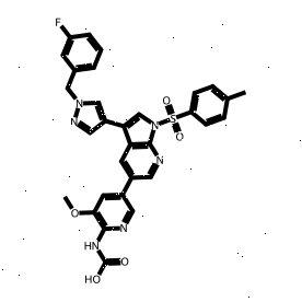 COc1cc(-c2cnc3c(c2)c(-c2cnn(Cc4cccc(F)c4)c2)cn3S(=O)(=O)c2ccc(C)cc2)cnc1NC(=O)O